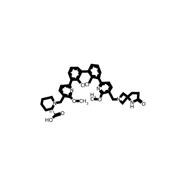 COc1nc(-c2cccc(-c3cccc(-c4ccc(CN5CCCC[C@H]5C(=O)O)c(OC)n4)c3Cl)c2Cl)ccc1CN1CC2(CCC(=O)N2)C1